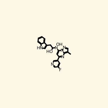 Cc1cnn2c(N(O)C(O)Cc3c[nH]c4ccccc34)cc(-c3cncc(F)c3)nc12